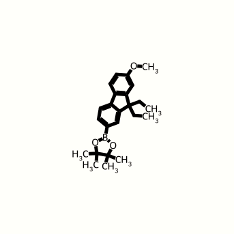 CCC1(CC)c2cc(OC)ccc2-c2ccc(B3OC(C)(C)C(C)(C)O3)cc21